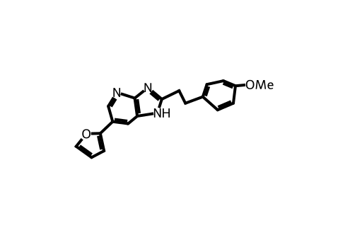 COc1ccc(CCc2nc3ncc(-c4ccco4)cc3[nH]2)cc1